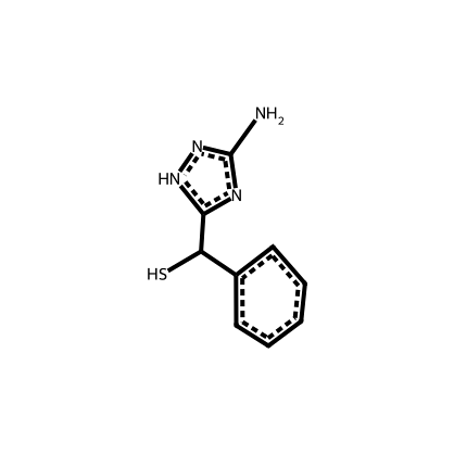 Nc1n[nH]c(C(S)c2ccccc2)n1